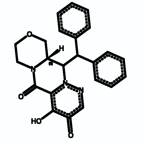 O=C1c2c(O)c(=O)cnn2C(C(c2ccccc2)c2ccccc2)[C@H]2COCCN12